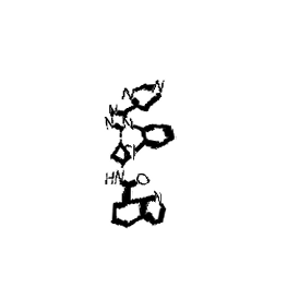 O=C(N[C@H]1C[C@H](c2nnc(-c3ccncn3)n2-c2ccccc2Cl)C1)c1cccc2cccnc12